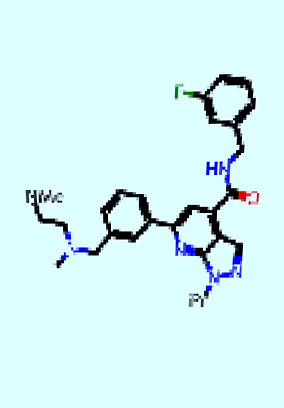 CNCCN(C)Cc1cccc(-c2cc(C(=O)NCc3cccc(F)c3)c3cnn(C(C)C)c3n2)c1